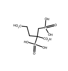 O=C(O)CCC(CP(=O)(O)O)(C(=O)O)P(=O)(O)O